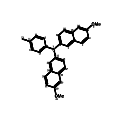 COc1ccc2cc(N(c3ccc(C)cc3)c3ccc4cc(OC)ccc4c3)ccc2c1